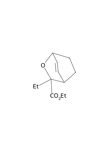 CCOC(=O)C1(CC)OC2C=CC1CC2